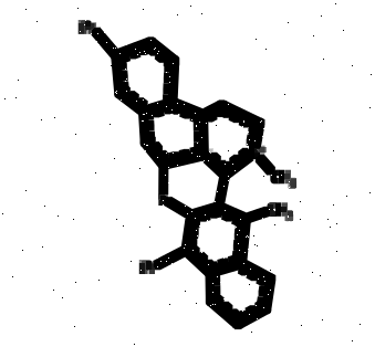 Cc1c2c(c(C(C)C)c3ccccc13)Sc1cc3cc(C(C)C)ccc3c3cc[n+](C)c-2c13